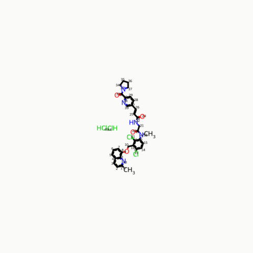 Cc1ccc2cccc(OCc3c(Cl)ccc(N(C)C(=O)CNC(=O)/C=C/c4ccc(C(=O)N5CCCC5)nc4)c3Cl)c2n1.Cl.Cl